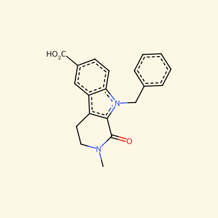 CN1CCc2c(n(Cc3ccccc3)c3ccc(C(=O)O)cc23)C1=O